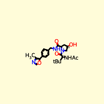 CC(=O)N[C@H](C(=O)N1C[C@H](O)CC1C(=O)NCc1ccc(-c2ocnc2C)cc1)C(C)(C)C